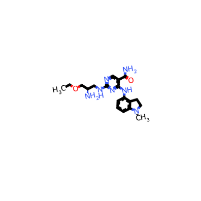 CCOC[C@H](N)CNc1ncc(C(N)=O)c(Nc2cccc3c2CCN3C)n1